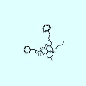 CCCC[C@H](NC(=O)[C@H](CC(C)C)NC(=O)OCc1ccccc1)C(=O)CSCc1ccccn1